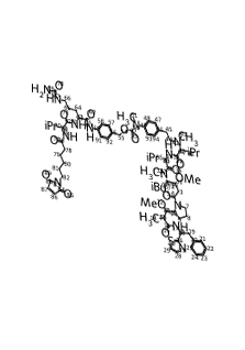 CC[C@H](C)[C@@H]([C@@H](CC(=O)N1CCC[C@H]1[C@H](OC)[C@@H](C)C(=O)N[C@@H](Cc1ccccc1)c1nccs1)OC)N(C)C(=O)[C@@H](NC(=O)[C@H](C(C)C)N(C)CCc1ccc(N(C)C(=O)OCc2ccc(NC(=O)[C@H](CCCNC(N)=O)NC(=O)[C@@H](NC(=O)CCCCCN3C(=O)C=CC3=O)C(C)C)cc2)cc1)C(C)C